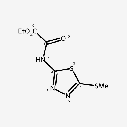 CCOC(=O)C(=O)Nc1nnc(SC)s1